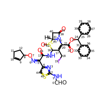 O=CNc1nc(/C(=N/OC2C=CCC2)C(=O)NC2C(CI)=C(C(=O)OC(c3ccccc3)c3ccccc3)N3C(=O)C[C@H]3[S+]2[O-])cs1